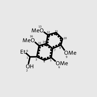 CCC(O)c1cc(OC)c2c(OC)ccc(OC)c2c1OC